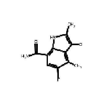 Cc1[nH]c2c(C(N)=O)cc(F)c(C)c2c1Cl